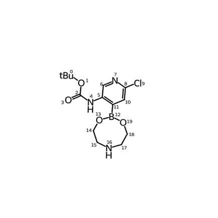 CC(C)(C)OC(=O)Nc1cnc(Cl)cc1B1OCCNCCO1